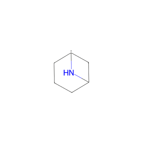 C1C[C]2CC(C1)N2